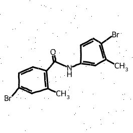 Cc1cc(NC(=O)c2ccc(Br)cc2C)ccc1Br